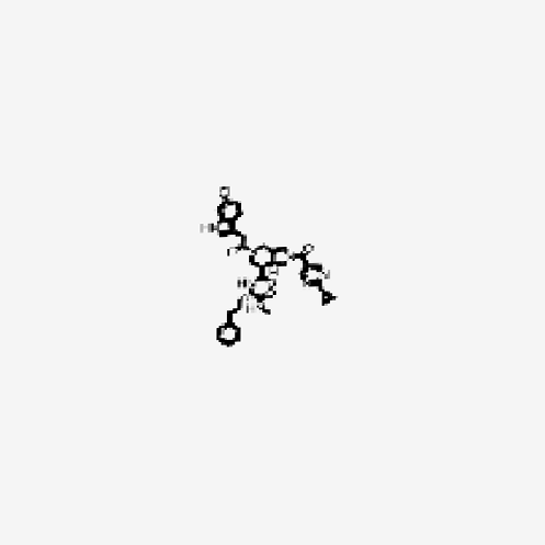 CNC(=O)[C@H](CCCc1ccccc1)NC(=O)C1CN(C(=O)Cc2c[nH]c3cc(Cl)ccc23)CC2CN(C(=O)c3cnc(C4CC4)nc3)C[C@@H]21